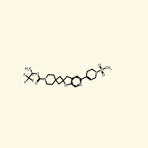 C[C@@H](OC(=O)N1CCC2(CC1)CC1(Cc3cc(C4=CCN(S(C)(=O)=O)CC4)ncc3O1)C2)C(F)(F)F